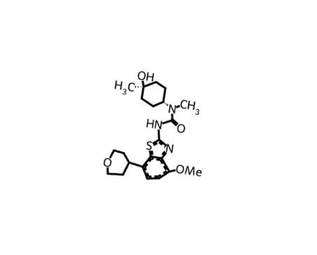 COc1ccc(C2CCOCC2)c2sc(NC(=O)N(C)[C@H]3CC[C@](C)(O)CC3)nc12